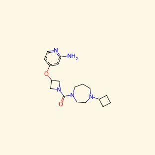 Nc1cc(OC2CN(C(=O)N3CCCN(C4CCC4)CC3)C2)ccn1